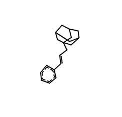 C(=Cc1ccccc1)CC12CC3CC(CC(C3)C1)C2